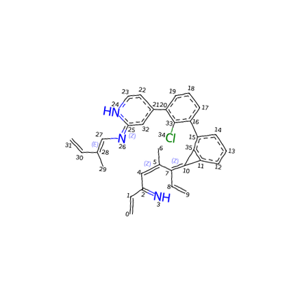 C=CC(=N)/C=C(C)\C(C=C)=C1\c2cccc(-c3cccc(-c4cc[nH]/c(=N\C=C(/C)C=C)c4)c3Cl)c21